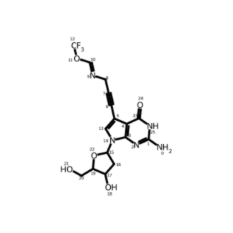 Nc1nc2c(c(C#CCN=COC(F)(F)F)cn2C2CC(O)C(CO)O2)c(=O)[nH]1